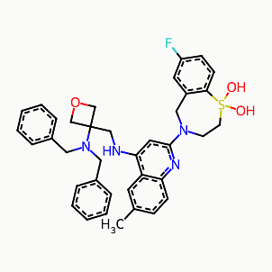 Cc1ccc2nc(N3CCS(O)(O)c4ccc(F)cc4C3)cc(NCC3(N(Cc4ccccc4)Cc4ccccc4)COC3)c2c1